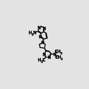 Cc1nc(C2CCN(c3ccc4ncnc(N)c4n3)C2)cc(N(C)C)n1